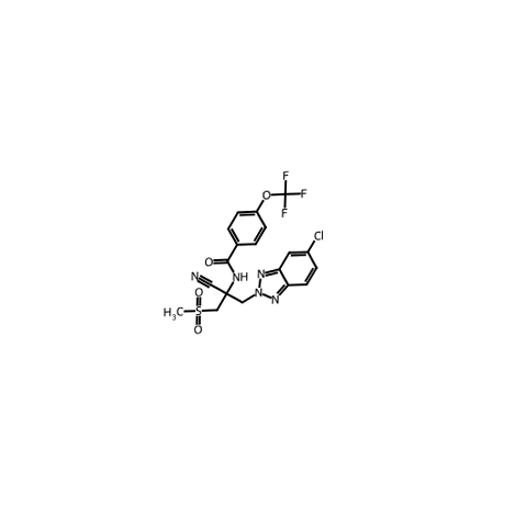 CS(=O)(=O)CC(C#N)(Cn1nc2ccc(Cl)cc2n1)NC(=O)c1ccc(OC(F)(F)F)cc1